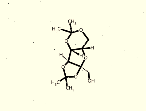 CC1(C)OC[C@@H]2O[C@@]3(CO)OC(C)(C)O[C@H]3[C@@H]2O1